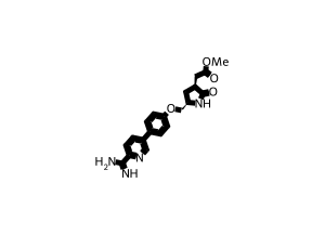 COC(=O)C[C@@H]1C[C@@H](COc2ccc(-c3ccc(C(=N)N)nc3)cc2)NC1=O